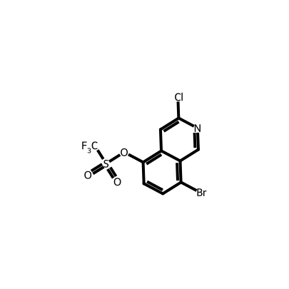 O=S(=O)(Oc1ccc(Br)c2cnc(Cl)cc12)C(F)(F)F